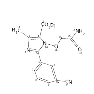 CCOC(=O)c1c(C)nc(-c2cccc(C#N)c2)n1OCC(N)=O